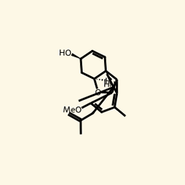 C=C(C)CC1(C)CC[C@]23C=C[C@H](O)C[C@@H]2OC2C(OC)=CC(C)=C(N1)C23